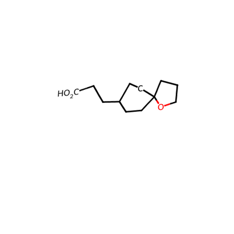 O=C(O)CCC1CCC2(CCCO2)CC1